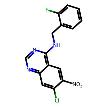 O=[N+]([O-])c1cc2c(NCc3ccccc3F)ncnc2cc1Cl